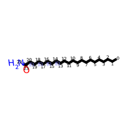 CCCCCCCCCCCCC/C=C/C=C/C=C/C=C/C(N)=O